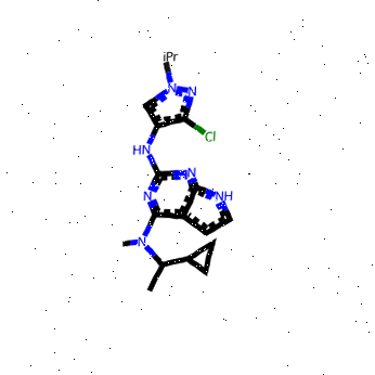 CC(C1CC1)N(C)c1nc(Nc2cn(C(C)C)nc2Cl)nc2[nH]ccc12